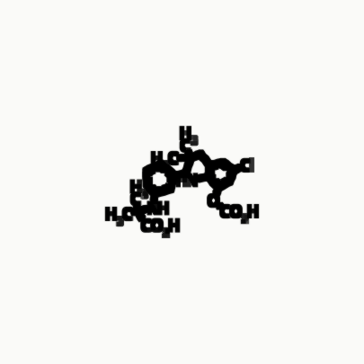 CC(C)(Nc1cccc(C2Nc3c(cc(Cl)cc3OC(=O)O)CC2(C)C)c1)C(=O)O